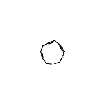 [C]1=C\C/C=C\CCCC\C=C/1